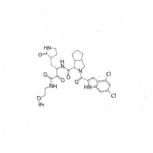 CC(C)OCCNC(=O)C(=O)C(CC1CCNC1=O)NC(=O)C1C2CCCC2CN1C(=O)c1cc2c(Cl)cc(Cl)cc2[nH]1